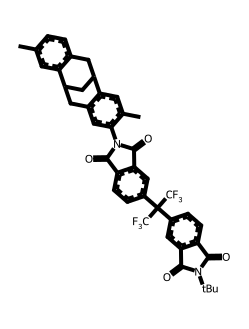 Cc1ccc2c(c1)C1Cc3cc(N4C(=O)c5ccc(C(c6ccc7c(c6)C(=O)N(C(C)(C)C)C7=O)(C(F)(F)F)C(F)(F)F)cc5C4=O)c(C)cc3C(C2)C1